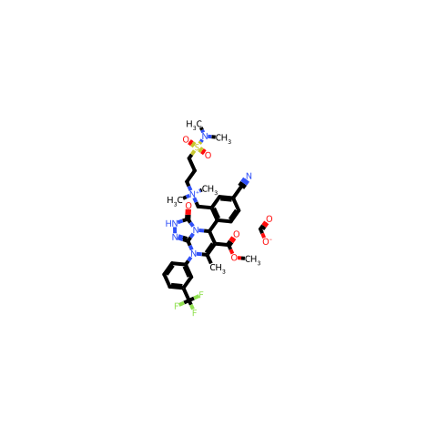 COC(=O)C1=C(C)N(c2cccc(C(F)(F)F)c2)c2n[nH]c(=O)n2C1c1ccc(C#N)cc1C[N+](C)(C)CCCS(=O)(=O)N(C)C.O=C[O-]